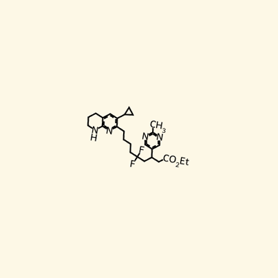 CCOC(=O)CC(CC(F)(F)CCCCc1nc2c(cc1C1CC1)CCCN2)c1cnc(C)nc1